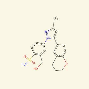 NS(=O)(=O)c1ccc(-n2nc(C(F)(F)F)cc2-c2ccc3c(c2)CCCO3)cc1CO